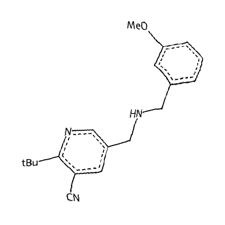 COc1cccc(CNCc2cnc(C(C)(C)C)c(C#N)c2)c1